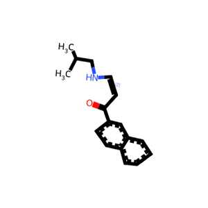 CC(C)CN/C=C\C(=O)c1ccc2ccccc2c1